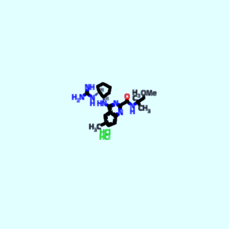 COCC(C)(C)NC(=O)c1nc(N[C@H]2CCCC[C@H]2NC(=N)N)c2cc(C)ccc2n1.Cl.Cl